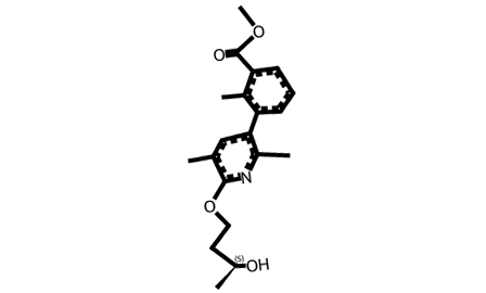 COC(=O)c1cccc(-c2cc(C)c(OCC[C@H](C)O)nc2C)c1C